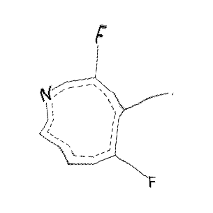 [CH2]c1c(F)ccnc1F